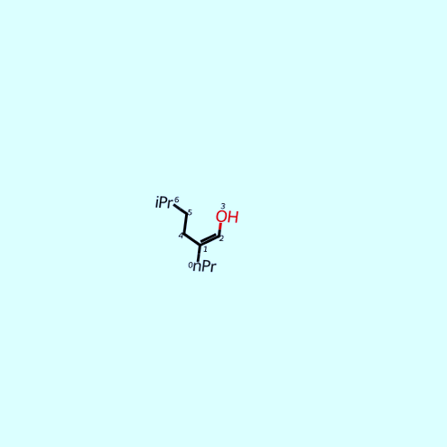 CCCC(=CO)CCC(C)C